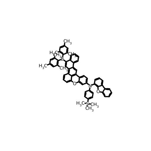 Cc1cc(C)c(B(c2c(C)cc(C)cc2C)c2cc3c4cccc5c4c(cc3c3ccccc23)-c2ccc(N(c3ccc([Si](C)(C)C)cc3)c3cccc4c3oc3ccccc34)cc2O5)c(C)c1